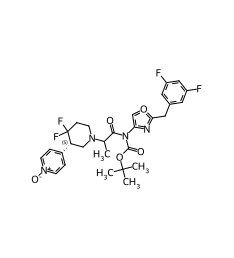 CC(C(=O)N(C(=O)OC(C)(C)C)c1coc(Cc2cc(F)cc(F)c2)n1)N1CCC(F)(F)[C@@H](c2cc[n+]([O-])cc2)C1